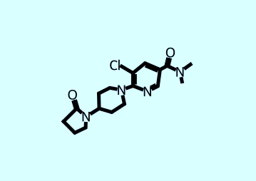 CN(C)C(=O)c1cnc(N2CCC(N3CCCC3=O)CC2)c(Cl)c1